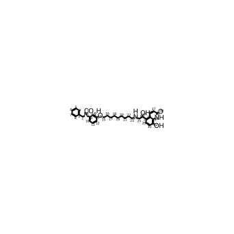 O=C(O)N(Cc1ccccc1)c1cccc(OCCCCCCCCCNC[C@H](O)c2ccc(O)c3[nH]c(=O)ccc23)c1